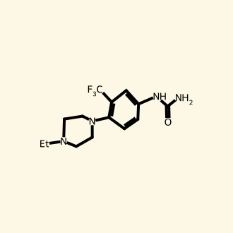 CCN1CCN(c2ccc(NC(N)=O)cc2C(F)(F)F)CC1